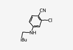 CCC(C)CNc1ccc(C#N)c(Cl)c1